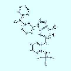 O=C(c1ccccc1)N1CCCC(n2ncc3c(=O)[nH]c(Cc4ccccc4OC(F)(F)F)nc32)C1